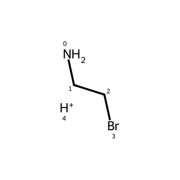 NCCBr.[H+]